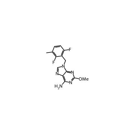 COc1nc(N)c2ncn(Cc3c(F)ccc(C)c3F)c2n1